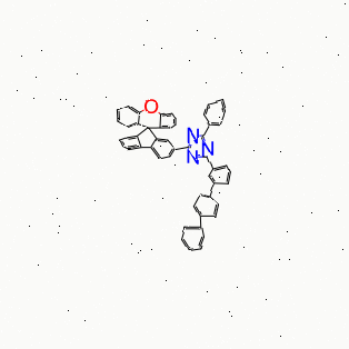 c1ccc(-c2ccc(-c3cccc(-c4nc(-c5ccccc5)nc(-c5ccc6c(c5)C5(c7ccccc7Oc7ccccc75)c5ccccc5-6)n4)c3)cc2)cc1